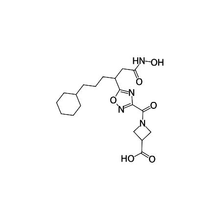 O=C(CC(CCCC1CCCCC1)c1nc(C(=O)N2CC(C(=O)O)C2)no1)NO